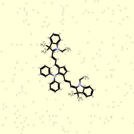 CCN1/C(=C\C=C\C2=C(N(c3ccccc3)c3ccccc3)C(=C/C=C/C3=[N+](CC)c4ccccc4C3(C)C)/C=C2)C(C)(C)c2ccccc21